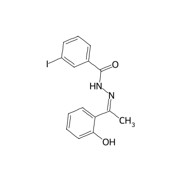 C/C(=N/NC(=O)c1cccc(I)c1)c1ccccc1O